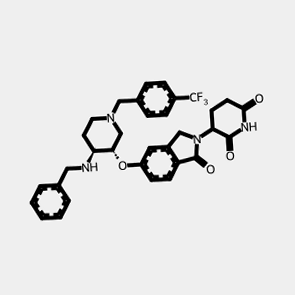 O=C1CCC(N2Cc3cc(O[C@H]4CN(Cc5ccc(C(F)(F)F)cc5)CC[C@@H]4NCc4ccccc4)ccc3C2=O)C(=O)N1